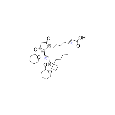 CCCCC1([C@@H](/C=C/[C@H]2[C@H](OC3CCCCO3)CC(=O)[C@@H]2CCCC/C=C/C(=O)O)OC2CCCCO2)CCC1